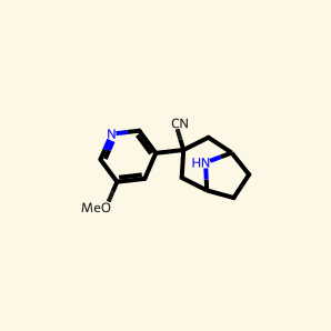 COc1cncc(C2(C#N)CC3CCC(C2)N3)c1